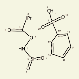 CC(C)C(=O)ON[SH](=O)=O.CS(=O)(=O)c1ccccc1